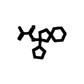 C=C(C)C(=O)OC1(C2CCCC2)CCC2(CCCCC2)C1